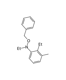 CCc1c(C)cccc1N(CC)OCc1ccccc1